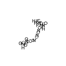 C[C@@H]1Cc2c([nH]c3ccccc23)[C@@H](c2c(F)cc(N3CCC(N4CCC(CN5Cc6cc7c(cc6C5)C(=O)N(C5CCC(=O)NC5=O)C7)CC4)CC3)cc2F)N1CC(F)F